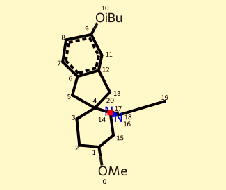 COC1CCC2(Cc3ccc(OCC(C)C)cc3C2)C2(C1)N=CC(C)=N2